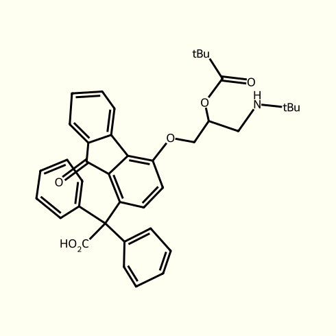 CC(C)(C)NCC(COc1ccc(C(C(=O)O)(c2ccccc2)c2ccccc2)c2c1-c1ccccc1C2=O)OC(=O)C(C)(C)C